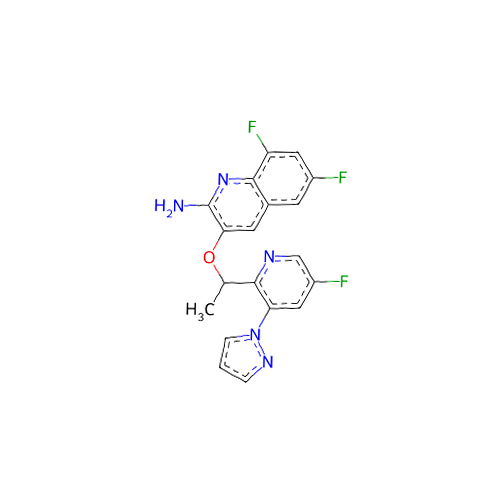 CC(Oc1cc2cc(F)cc(F)c2nc1N)c1ncc(F)cc1-n1cccn1